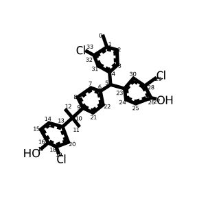 Cc1ccc(C(c2ccc(C(C)(C)c3ccc(O)c(Cl)c3)cc2)c2ccc(O)c(Cl)c2)cc1Cl